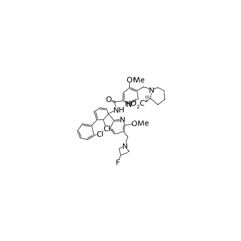 COc1cc(C(=O)NC2(c3ccc(CN4CC(F)C4)c(OC)n3)C=CC=C(c3ccccc3Cl)C2Cl)ncc1CN1CCCC[C@H]1C(=O)O